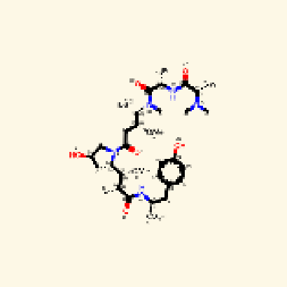 CC[C@H](C)[C@@H]([C@@H](CC(=O)N1C[C@H](O)C[C@H]1[C@H](OC)[C@@H](C)C(=O)N[C@@H](Cc1ccc(O)cc1)C(=O)O)OC)N(C)C(=O)[C@@H](NC(=O)[C@H](C(C)C)N(C)C)C(C)C